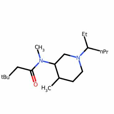 CCCC(CC)N1CCC(C)C(N(C)C(=O)CC(C)(C)C)C1